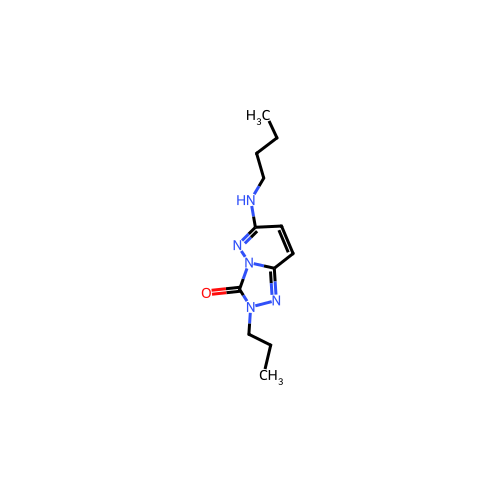 CCCCNc1ccc2nn(CCC)c(=O)n2n1